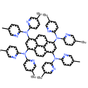 Cc1ccc(N(c2ccc(C(C)(C)C)cn2)c2cc(N(c3ccc(C(C)(C)C)cn3)c3ccc(C(C)(C)C)cn3)c3ccc4c(N(c5ccc(C)cn5)c5ccc(C(C)(C)C)cn5)cc(N(c5ccc(C(C)(C)C)cn5)c5ccc(C(C)(C)C)cn5)c5ccc2c3c45)nc1